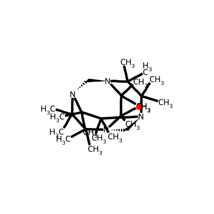 CC1(C)[N@]2C[N@@]3C(C)(C)C(C)(C)[N@@](C[N@@](C(C)(C)C3(C)C)C1(C)C)C(C)(C)C2(C)C